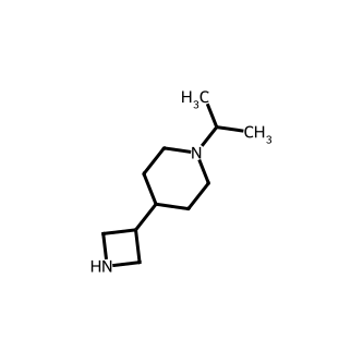 CC(C)N1CCC(C2CNC2)CC1